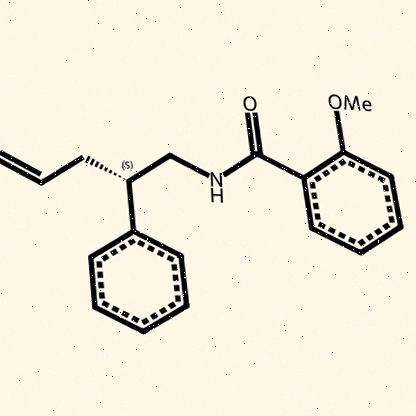 C=CC[C@H](CNC(=O)c1ccccc1OC)c1ccccc1